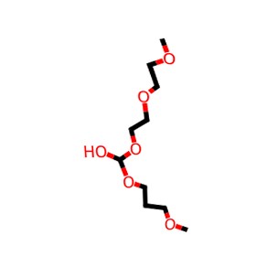 COCCCOC(O)OCCOCCOC